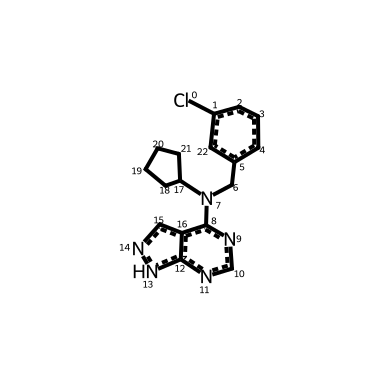 Clc1cccc(CN(c2ncnc3[nH]ncc23)C2CCCC2)c1